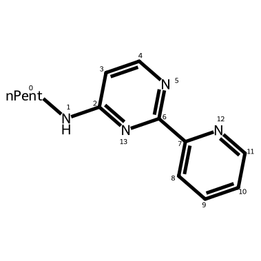 CCCCCNc1ccnc(-c2ccccn2)n1